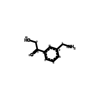 NCc1cccc(C(=O)CO)c1